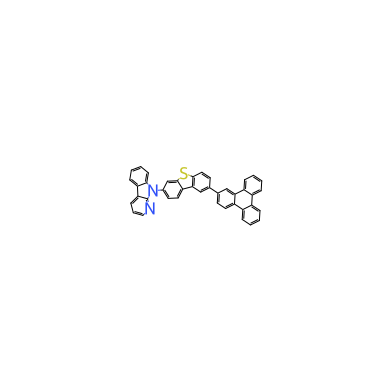 c1ccc2c(c1)c1ccccc1c1cc(-c3ccc4sc5cc(-n6c7ccccc7c7cccnc76)ccc5c4c3)ccc21